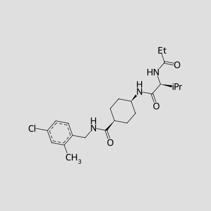 CCC(=O)N[C@H](C(=O)N[C@H]1CC[C@@H](C(=O)NCc2ccc(Cl)cc2C)CC1)C(C)C